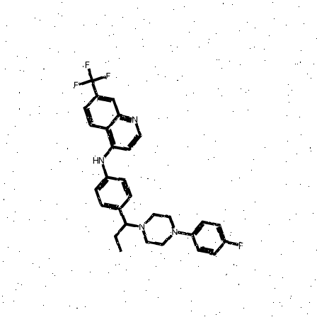 CCC(c1ccc(Nc2ccnc3cc(C(F)(F)F)ccc23)cc1)N1CCN(c2ccc(F)cc2)CC1